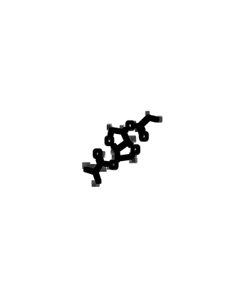 CCC(=O)OC1COC2C(OC(=O)C(C)C)COC12